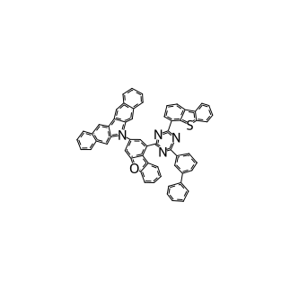 c1ccc(-c2cccc(-c3nc(-c4cccc5c4sc4ccccc45)nc(-c4cc(-n5c6cc7ccccc7cc6c6cc7ccccc7cc65)cc5oc6ccccc6c45)n3)c2)cc1